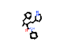 CC(Cc1ccccc1)C(CCC1CCCNC1)C(=O)Nc1ccccc1